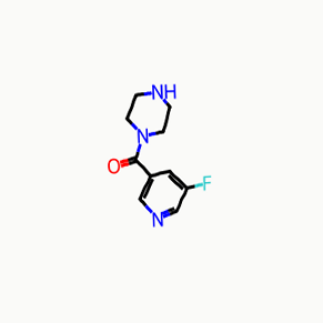 O=C(c1cncc(F)c1)N1CCNCC1